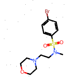 CN(CCN1CCOCC1)S(=O)(=O)c1ccc(Br)cc1